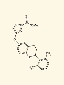 COC(=O)c1cnc(Oc2ccc3c(c2)CCC(c2c(C)cccc2C)O3)s1